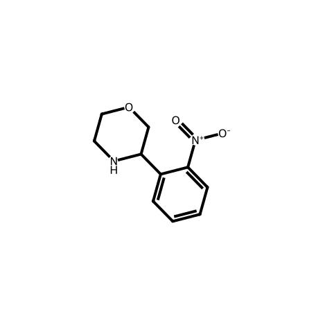 O=[N+]([O-])c1ccccc1C1COCCN1